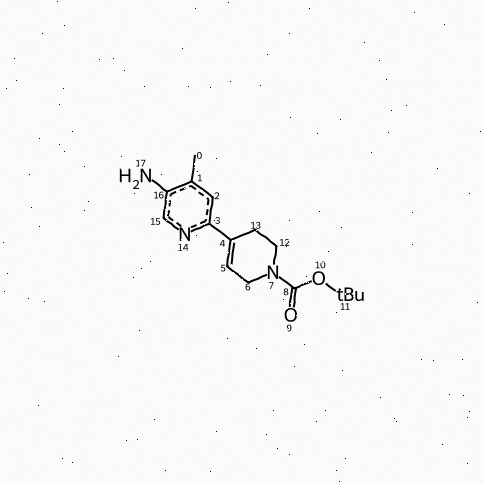 Cc1cc(C2=CCN(C(=O)OC(C)(C)C)CC2)ncc1N